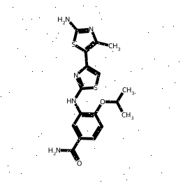 Cc1nc(N)sc1-c1csc(Nc2cc(C(N)=O)ccc2OC(C)C)n1